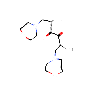 CC(CN1CCOCC1)C(=O)C(=O)C(C)CN1CCOCC1